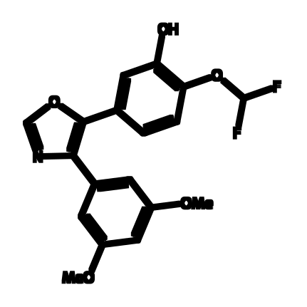 COc1cc(OC)cc(-c2ncoc2-c2ccc(OC(F)F)c(O)c2)c1